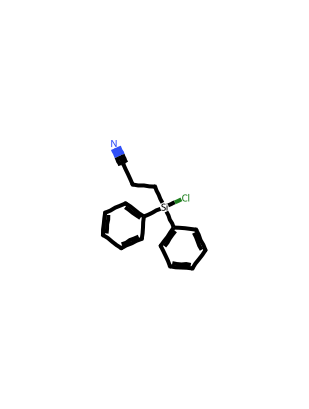 N#CCC[Si](Cl)(c1ccccc1)c1ccccc1